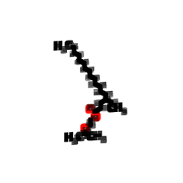 CCCCCCCCCCCCCCC(CC)CCC(=O)OCCOC(C)C